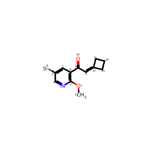 COc1ncc(Br)cc1C(=O)C=C1CCC1